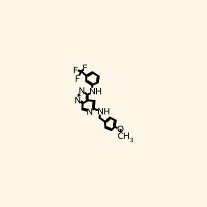 COc1ccc(CNc2cc3c(Nc4cccc(C(F)(F)F)c4)ncnc3cn2)cc1